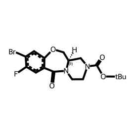 CC(C)(C)OC(=O)N1CCN2C(=O)c3cc(F)c(Br)cc3OC[C@H]2C1